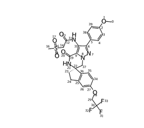 COc1ccc(-c2nn3c(c2NC(=O)CS(C)(=O)=O)C(=O)N[C@@]2(CCc4cc(OCC(F)(F)F)ccc42)C3)cc1